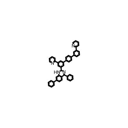 c1ccc(C2=NC(c3cc(-c4ccc(-c5cccc(-c6ccccn6)c5)cc4)cc(-c4ccccn4)c3)Nc3cc(-c4ccccc4)ccc32)cc1